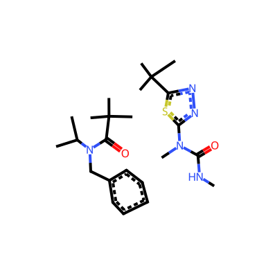 CC(C)N(Cc1ccccc1)C(=O)C(C)(C)C.CNC(=O)N(C)c1nnc(C(C)(C)C)s1